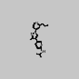 CCCc1cc(-n2cc(-c3ccc(NC(C)C)nc3)c(C)n2)ccn1